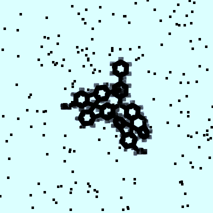 CC(C)(C)c1ccc2c(c1)C1(c3ccccc3Sc3ccc(N(c4ccc(-c5ccccc5)cc4)c4ccc5c(c4)C4(c6ccccc6-5)c5cc(C(C)(C)C)ccc5-c5ccc(C(C)(C)C)cc54)cc31)c1cc(C(C)(C)C)ccc1-2